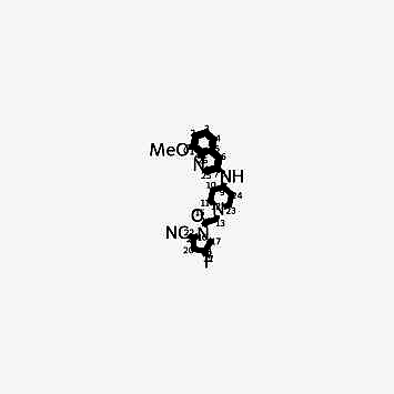 COc1cccc2cc(NC3CCN(CC(=O)N4C[C@@H](F)CC4C#N)CC3)cnc12